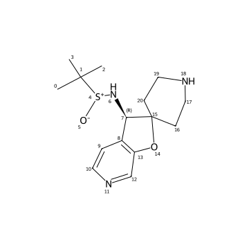 CC(C)(C)[S+]([O-])N[C@@H]1c2ccncc2OC12CCNCC2